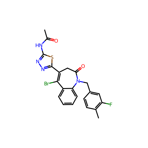 CC(=O)Nc1nnc(C2=C(Br)c3ccccc3N(Cc3ccc(C)c(F)c3)C(=O)C2)s1